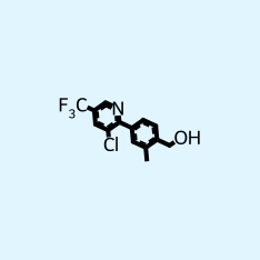 Cc1cc(-c2ncc(C(F)(F)F)cc2Cl)ccc1CO